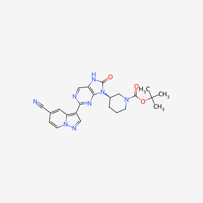 CC(C)(C)OC(=O)N1CCC[C@@H](n2c(=O)[nH]c3cnc(-c4cnn5ccc(C#N)cc45)nc32)C1